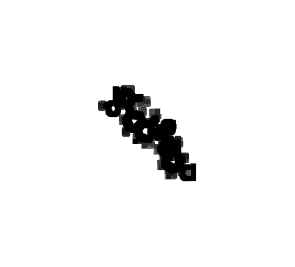 COC1=C(c2ccc3c(c2)C(C)N(C(=O)c2cc4ccc(Cl)cn4n2)CC3)C(C)C=N1